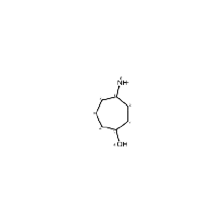 [NH]C1CCCC(O)CC1